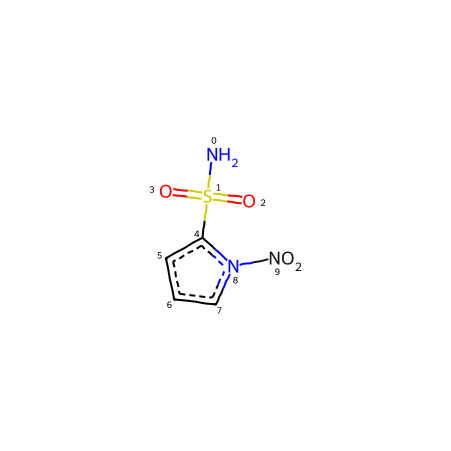 NS(=O)(=O)c1cccn1[N+](=O)[O-]